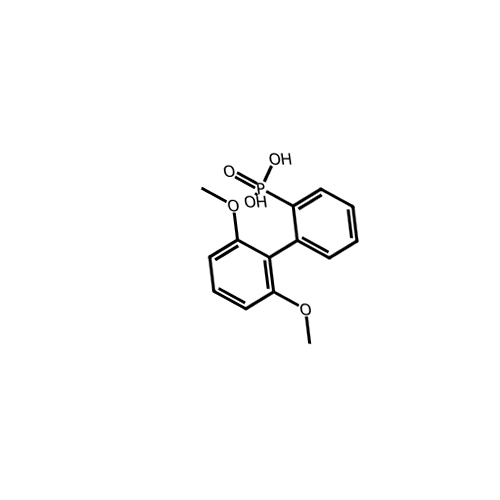 COc1cccc(OC)c1-c1ccccc1P(=O)(O)O